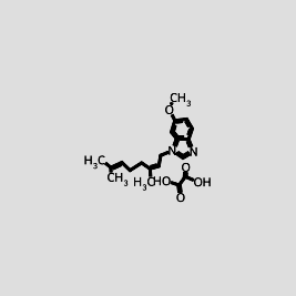 COc1ccc2ncn(CC=C(C)CCC=C(C)C)c2c1.O=C(O)C(=O)O